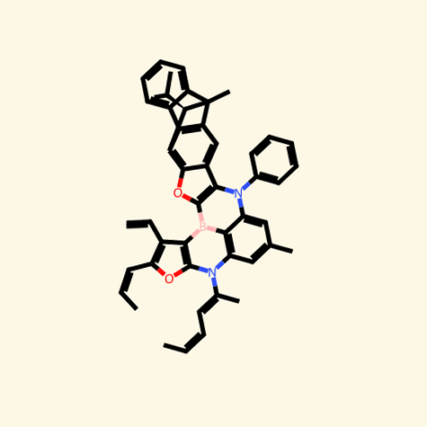 C=Cc1c(/C=C\C)oc2c1B1c3oc4c5c6c(cc4c3N(c3ccccc3)c3cc(C)cc(c31)N2/C(C)=C/C=C\C)C(C)(c1ccccc1-6)[C@@H]5C(C)C